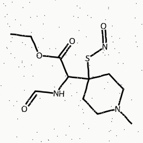 CCOC(=O)C(NC=O)C1(SN=O)CCN(C)CC1